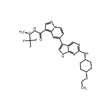 CCO[C@H]1CC[C@@H](Nc2ncc3c(-c4ccn5ncc(C(=O)N[C@H](C)C(F)(F)F)c5c4)c[nH]c3n2)CC1